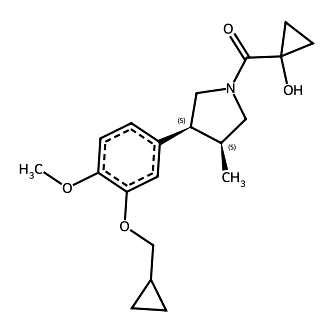 COc1ccc([C@H]2CN(C(=O)C3(O)CC3)C[C@H]2C)cc1OCC1CC1